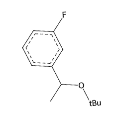 CC(OC(C)(C)C)c1cccc(F)c1